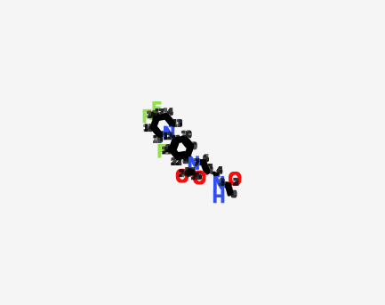 CC(=O)NC[C@H]1CN(c2ccc(N3CCC(F)(F)CC3)c(F)c2)C(=O)O1